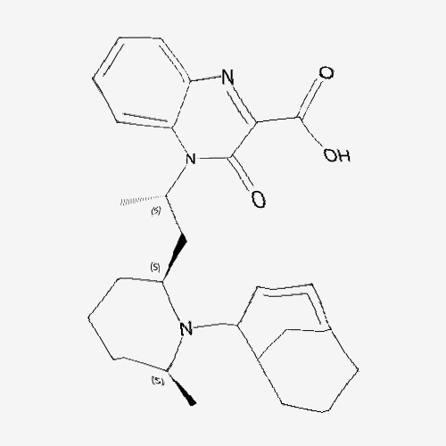 C[C@H]1CCC[C@@H](C[C@H](C)n2c(=O)c(C(=O)O)nc3ccccc32)N1C1C=C=C2CCCC1C2